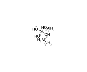 O[Si](O)(O)O.[AlH3].[AlH3].[AlH3]